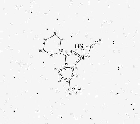 O=C1Cn2c(c(C3CCCCC3)c3ccc(C(=O)O)cc32)N1